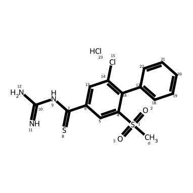 CS(=O)(=O)c1cc(C(=S)NC(=N)N)cc(Cl)c1-c1ccccc1.Cl